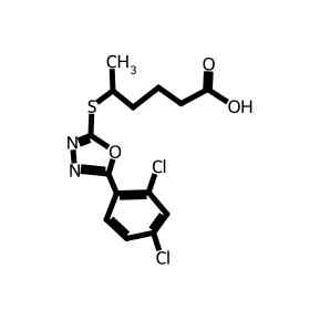 CC(CCCC(=O)O)Sc1nnc(-c2ccc(Cl)cc2Cl)o1